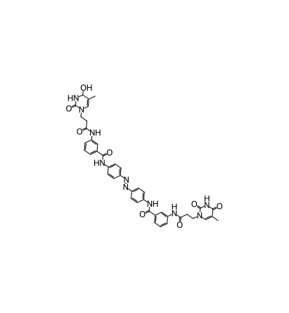 CC1=CN(CCC(=O)Nc2cccc(C(=O)Nc3ccc(/N=N/c4ccc(NC(=O)c5cccc(NC(=O)CCn6cc(C)c(=O)[nH]c6=O)c5)cc4)cc3)c2)C(=O)NC1O